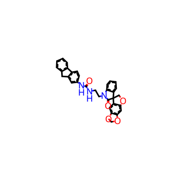 O=C(NCCN1C(=O)C2(COc3cc4c(cc32)OCO4)c2ccccc21)Nc1ccc2c(c1)Cc1ccccc1-2